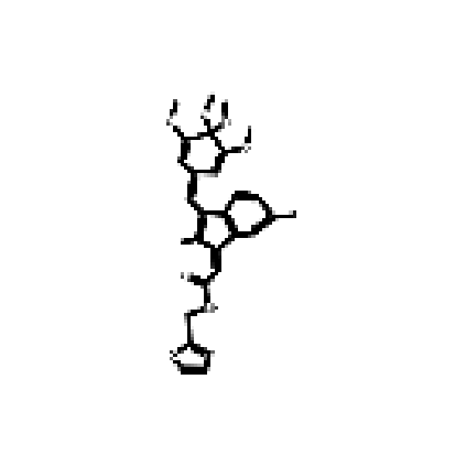 COC1=CC(=CC2=C(C)C(=CC(=O)NCc3ccco3)c3cc(F)ccc32)C=C(OC)C1(OC)OC